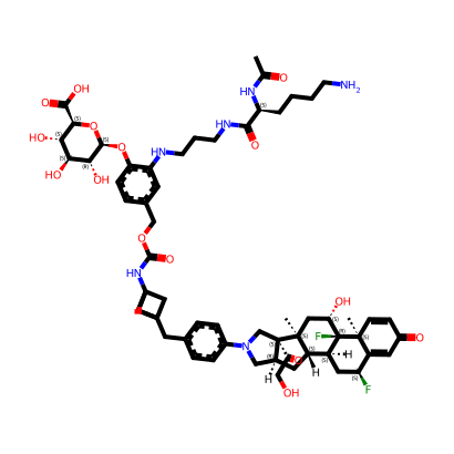 CC(=O)N[C@@H](CCCCN)C(=O)NCCCNc1cc(COC(=O)NC23CC(Cc4ccc(N5C[C@@H]6C[C@H]7[C@@H]8C[C@H](F)C9=CC(=O)C=C[C@]9(C)[C@@]8(F)[C@@H](O)C[C@]7(C)[C@]6(C(=O)CO)C5)cc4)(C2)C3)ccc1O[C@@H]1O[C@H](C(=O)O)[C@@H](O)[C@H](O)[C@H]1O